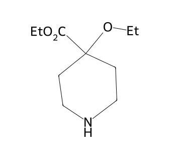 CCOC(=O)C1(OCC)CCNCC1